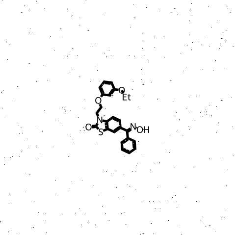 CCOc1[c]c(OCCn2c(=O)sc3cc(C(=NO)c4ccccc4)ccc32)ccc1